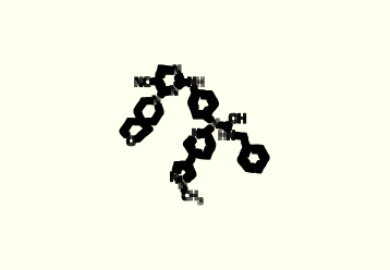 Cn1cc(-c2ccc(N(c3ccc(Nc4ncc(C#N)c(N5CCC6(CCOCC6)CC5)n4)cc3)C(O)NCc3ccccc3)nc2)cn1